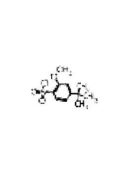 COc1cc(C(C)(C)C)ccc1S(=O)(=O)Cl